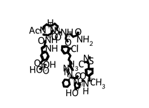 CC(=O)N1CC[C@H]2CC[C@@H](C(=O)N[C@@H](CCC(N)=O)COc3cccc(CCCc4cn([C@H](C(=O)N5C[C@H](O)C[C@H]5C(=O)N[C@@H](C)c5ccc(-c6scnc6C)cc5)C5CCCCC5)nn4)c3Cl)N2C(=O)[C@@H](NC(=O)c2cc3cc(C(=O)P(=O)(O)O)ccc3[nH]2)C1